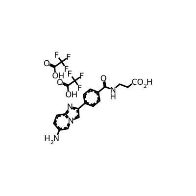 Nc1ccc2nc(-c3ccc(C(=O)NCCC(=O)O)cc3)cn2c1.O=C(O)C(F)(F)F.O=C(O)C(F)(F)F